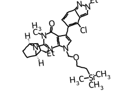 CC[C@@H]1C[C@@H]2CC[C@H]1N2c1nc2c(c(-c3ccc4nn(CC)cc4c3Cl)cn2COCC[Si](C)(C)C)c(=O)n1C